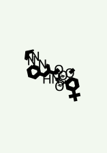 COc1ccc(C(C)(C)C)cc1S(=O)(=O)NC(=O)c1cnc2c(-n3cccn3)cccc2c1